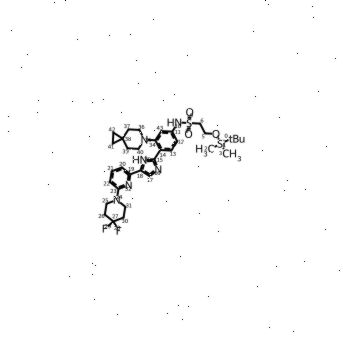 CC(C)(C)[Si](C)(C)OCCS(=O)(=O)Nc1ccc(-c2ncc(-c3cccc(N4CCC(F)(F)CC4)n3)[nH]2)c(N2CCC3(CC2)CC3)c1